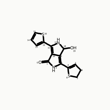 O=C1NC(C2=CCCS2)=C2C1=C(c1cccs1)NC2O